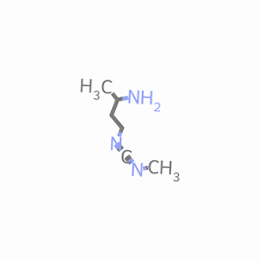 CN=C=NCCC(C)N